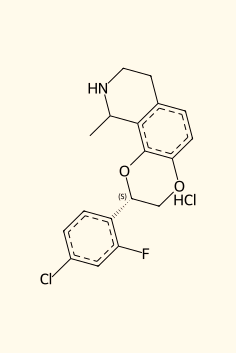 CC1NCCc2ccc3c(c21)O[C@@H](c1ccc(Cl)cc1F)CO3.Cl